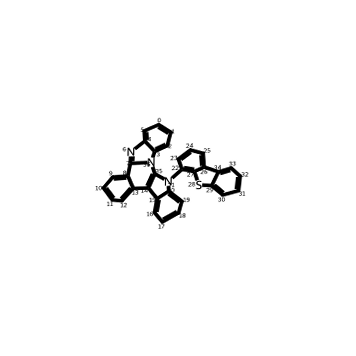 c1ccc2c(c1)nc1c3ccccc3c3c4ccccc4n(-c4cccc5c4sc4ccccc45)c3n21